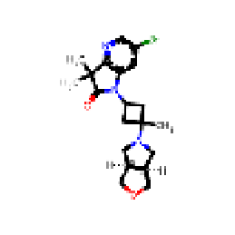 CC1(C)C(=O)N(C2CC(C)(N3C[C@H]4COC[C@H]4C3)C2)c2cc(Br)cnc21